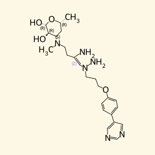 C[C@@H]1C[C@H](N(C)CC/C(N)=C/N(N)CCCOc2ccc(-c3cncnc3)cc2)[C@@H](O)[C@H](O)O1